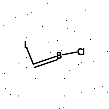 ClB=CI